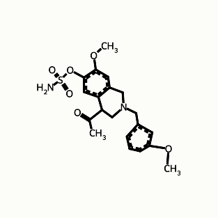 COc1cccc(CN2Cc3cc(OC)c(OS(N)(=O)=O)cc3C(C(C)=O)C2)c1